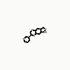 c1cncc(-c2cnc3cc4cn[nH]c4cc3n2)c1